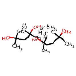 CC(C)(O)CC(C)(C)O.CC(C)(O)CC(C)(C)O.[B].[B]